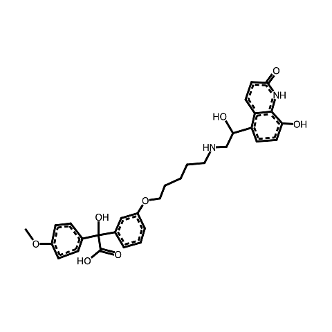 COc1ccc(C(O)(C(=O)O)c2cccc(OCCCCCNCC(O)c3ccc(O)c4[nH]c(=O)ccc34)c2)cc1